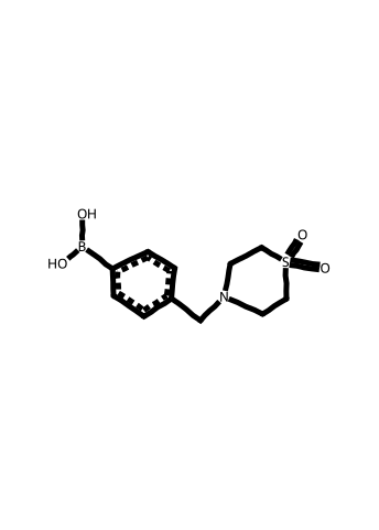 O=S1(=O)CCN(Cc2ccc(B(O)O)cc2)CC1